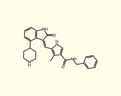 Cc1c(C(=O)NCc2ccccc2)c[nH]c1C=C1C(=O)Nc2cccc(C3CCNCC3)c21